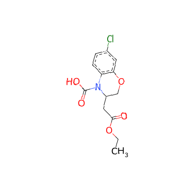 CCOC(=O)CC1COc2cc(Cl)ccc2N1C(=O)O